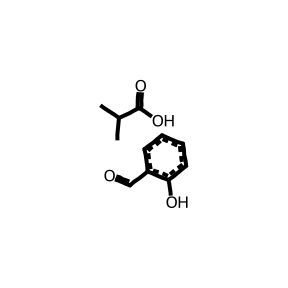 CC(C)C(=O)O.O=Cc1ccccc1O